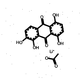 CC(=O)[O-].O=C1c2ccc(O)c(O)c2C(=O)c2c(O)ccc(O)c21.[Li+]